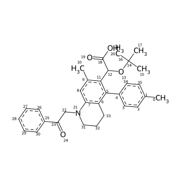 Cc1ccc(-c2c3c(cc(C)c2C(OC(C)(C)C)C(=O)O)N(CC(=O)c2ccccc2)CCC3)cc1